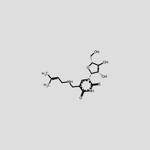 CC(C)=CCNCc1cn([C@@H]2O[C@H](CO)C(O)[C@@H]2O)c(=S)[nH]c1=O